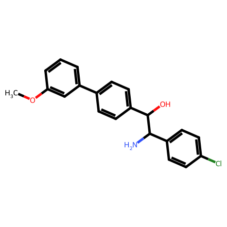 COc1cccc(-c2ccc(C(O)C(N)c3ccc(Cl)cc3)cc2)c1